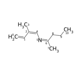 C=C/C(C)=C\N=C(\C)CCC